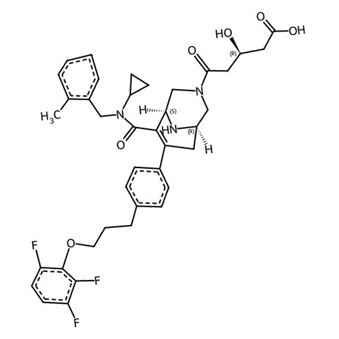 Cc1ccccc1CN(C(=O)C1=C(c2ccc(CCCOc3c(F)ccc(F)c3F)cc2)C[C@@H]2CN(C(=O)C[C@@H](O)CC(=O)O)C[C@H]1N2)C1CC1